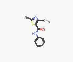 Cc1nc(C(C)(C)C)sc1C(=O)Nc1ccccc1